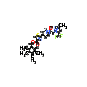 Cc1cc(C(F)F)n(CC(=O)N2CCC(c3nc(C4OCc5c(C)c(C)c(C)c(C)c5CO4)cs3)CC2)n1